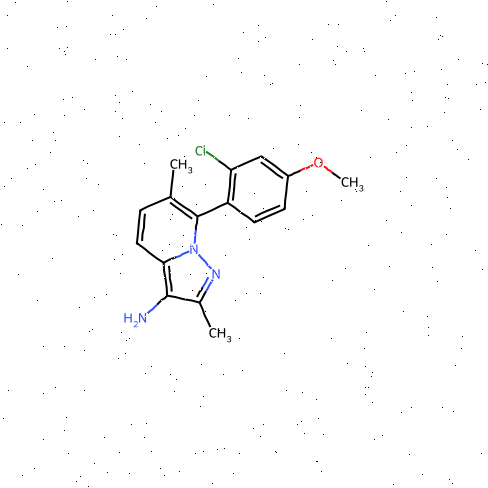 COc1ccc(-c2c(C)ccc3c(N)c(C)nn23)c(Cl)c1